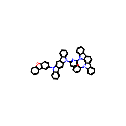 C1=Cc2c(oc3ccc(-n4c5ccccc5c5cc6c(cc54)c4ccccc4n6-c4cccc(-n5c6ccccc6c6ccc7c8ccccc8n(-c8ccccc8)c7c65)n4)cc23)CC1